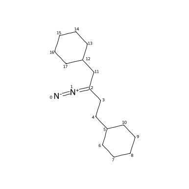 [N-]=[N+]=C(CCC1CCCCC1)CC1CCCCC1